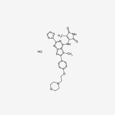 CC1=C(Nc2nc(-c3cccs3)nc3sc(-c4ccc(OCCN5CCOCC5)cc4)c(C)c23)C(=O)NC1=O.Cl